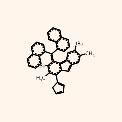 Cc1cc2c(cc1C(C)(C)C)=c1c(c(C3=CC=CC3)c(C)c(C(C)(C)C)c1=C(c1cccc3ccccc13)c1cccc3ccccc13)[C]=2